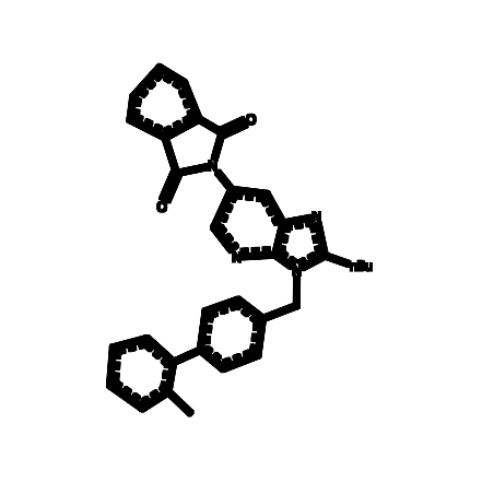 CCCCc1nc2cc(N3C(=O)c4ccccc4C3=O)cnc2n1Cc1ccc(-c2ccccc2C)cc1